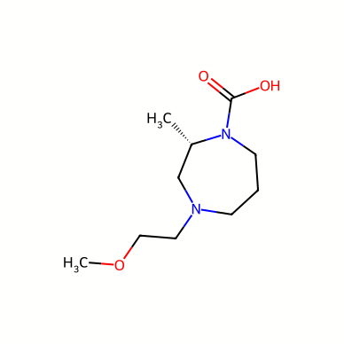 COCCN1CCCN(C(=O)O)[C@@H](C)C1